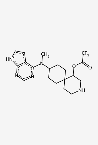 CN(c1ncnc2[nH]ccc12)C1CCC2(CCNCC2OC(=O)C(F)(F)F)CC1